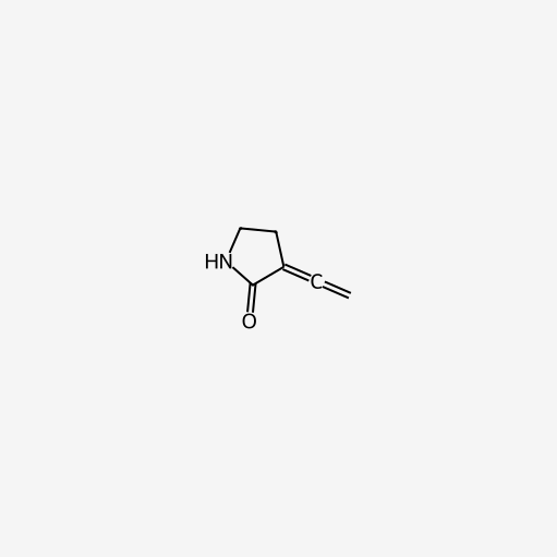 C=C=C1CCNC1=O